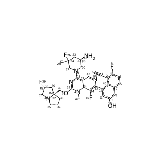 C#Cc1c(F)ccc2cc(O)cc(C3=C(F)C4C(=C(N5C[C@H](N)CC(F)(F)C5)N=C(OC[C@@]56CCCN5C[C@H](F)C6)N4C)C=N3)c12